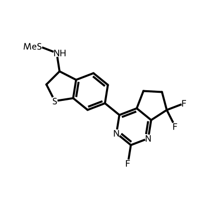 CSNC1CSc2cc(-c3nc(F)nc4c3CCC4(F)F)ccc21